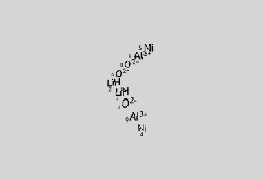 [Al+3].[Al+3].[LiH].[LiH].[Ni].[Ni].[O-2].[O-2].[O-2]